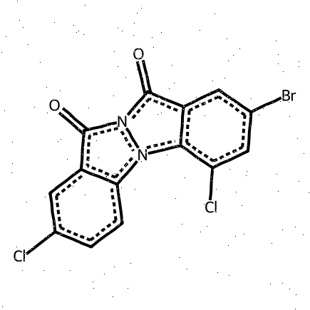 O=c1c2cc(Cl)ccc2n2c3c(Cl)cc(Br)cc3c(=O)n12